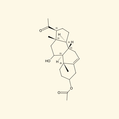 CC(=O)OC1CC[C@@]2(C)C(=CC[C@H]3[C@@H]4CC[C@H](C(C)=O)[C@@]4(C)CC(O)[C@@H]32)C1